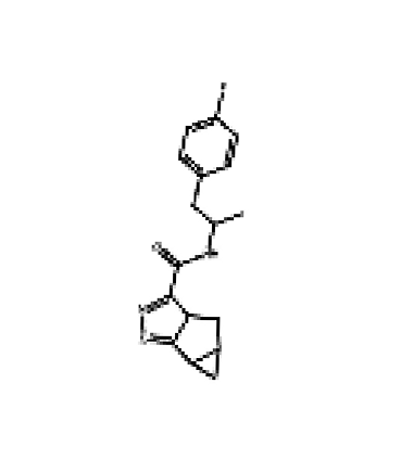 CC(Cc1ccc(F)cc1)NC(=O)C1=NN=C2C1CC1CC21